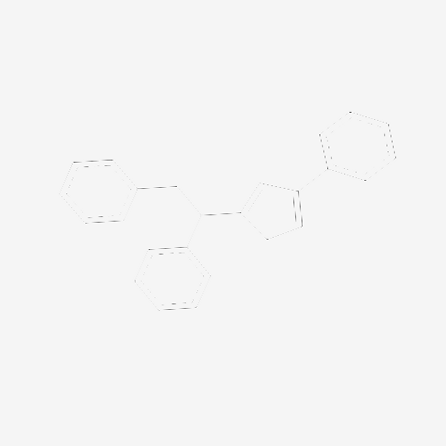 C1=C(c2ccccc2)C=C(C(Cc2ccccc2)c2ccccc2)C1